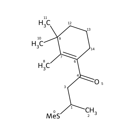 CSC(C)CC(=O)C1=C(C)C(C)(C)CCC1